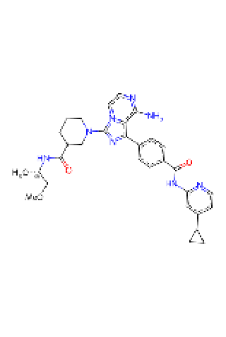 COC[C@H](C)NC(=O)C1CCCN(c2nc(-c3ccc(C(=O)Nc4cc(C5CC5)ccn4)cc3)c3c(N)nccn23)C1